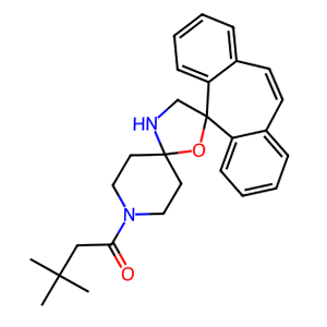 CC(C)(C)CC(=O)N1CCC2(CC1)NCC1(O2)c2ccccc2C=Cc2ccccc21